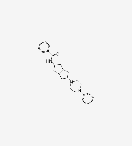 O=C(N[C@H]1CC2C[C@H](N3CCN(c4ccccc4)CC3)CC2C1)c1ccccc1